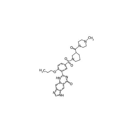 CCCOc1ccc(S(=O)(=O)N2CCCC(C(=O)N3CCN(C)CC3)C2)cc1-c1nc(=O)c2cc3[nH]cnc3cc2[nH]1